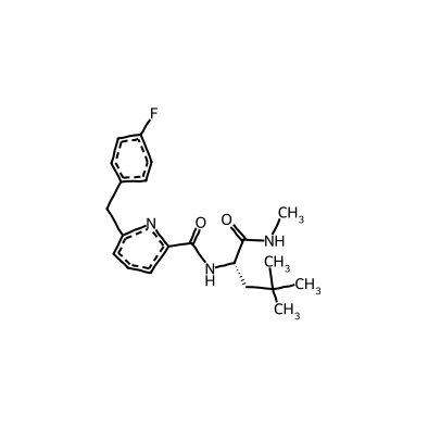 CNC(=O)[C@H](CC(C)(C)C)NC(=O)c1cccc(Cc2ccc(F)cc2)n1